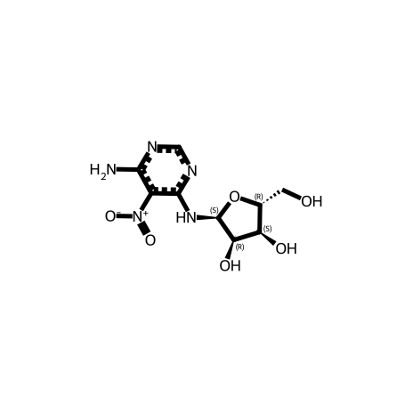 Nc1ncnc(N[C@H]2O[C@H](CO)[C@@H](O)[C@H]2O)c1[N+](=O)[O-]